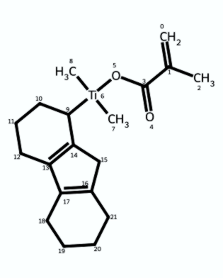 C=C(C)C(=O)[O][Ti]([CH3])([CH3])[CH]1CCCC2=C1CC1=C2CCCC1